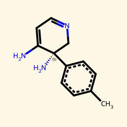 Cc1ccc([C@]2(N)CN=CC=C2N)cc1